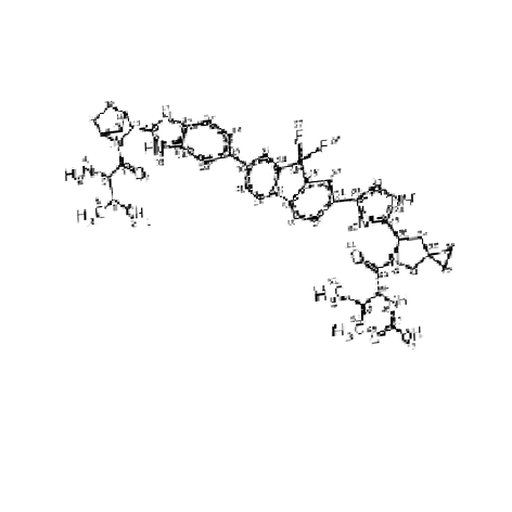 CC(C)C(N)C(=O)N1C2CCC(C2)[C@H]1c1nc2ccc(-c3ccc4c(c3)C(F)(F)c3cc(-c5c[nH]c(C6CC7(CC7)CN6C(=O)C(NC(=O)O)C(C)C)n5)ccc3-4)cc2[nH]1